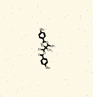 CCCC(OC(=O)c1ccc(C(C)(C)C)cc1)C(C)(CC)C(CC)OC(=O)c1ccc(C(C)(C)C)cc1